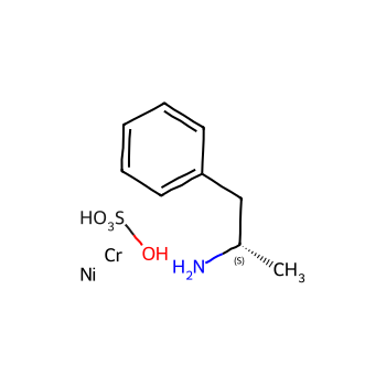 C[C@H](N)Cc1ccccc1.O=S(=O)(O)O.[Cr].[Ni]